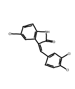 O=C1Nc2ccc(Cl)cc2C1=Cc1ccc(Cl)c(Cl)c1